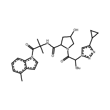 Cc1cccc2c1ccn2C(=O)C(C)(C)NC(=O)C1CC(O)CN1C(=O)C(n1cc(C2CC2)nn1)C(C)(C)C